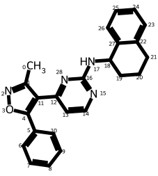 Cc1noc(-c2ccccc2)c1-c1ccnc(NC2CCCc3ccccc32)n1